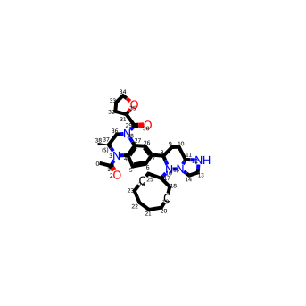 CC(=O)N1c2ccc(C3CCC4NCCN4N3C3CCCCCCCC3)cc2N(C(=O)C2CCCO2)C[C@@H]1C